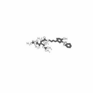 CC(C)OC(=O)C(C)C(CC(C)(C)C(=O)OCCCCc1ccc(O)c(-n2nc3ccccc3n2)c1)C(=O)OC(C)C